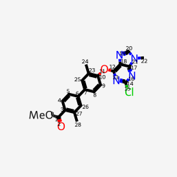 COC(=O)c1ccc(-c2ccc(Oc3nc(Cl)nc4c3ncn4C)c(C)c2)cc1C